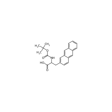 CC(C)(C)OC(=O)NC(Cc1ccc2cc3ccccc3cc2c1)C(=O)O